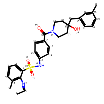 C/C=N\c1c(C)cccc1S(=O)(=O)Nc1ccc(C(=O)N2CCC(O)(Cc3cccc(C)c3)CC2)cc1